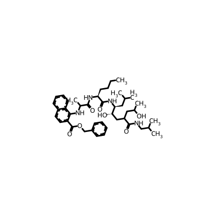 CCCC[C@H](NC(=O)C(C)Nc1c(C(=O)OCc2ccccc2)ccc2ccccc12)C(=O)N[C@@H](CC(C)C)[C@@H](O)CC(CC(C)O)C(=O)NCC(C)C